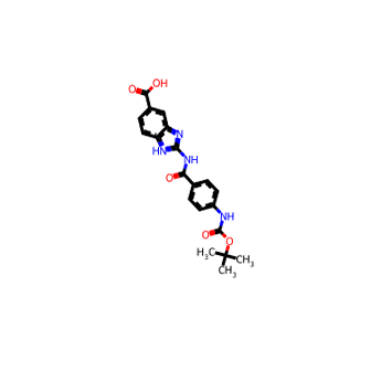 CC(C)(C)OC(=O)Nc1ccc(C(=O)Nc2nc3cc(C(=O)O)ccc3[nH]2)cc1